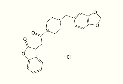 Cl.O=C1Oc2ccccc2C1CC(=O)N1CCN(Cc2ccc3c(c2)OCO3)CC1